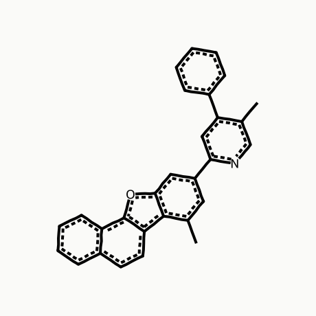 Cc1cnc(-c2cc(C)c3c(c2)oc2c4ccccc4ccc23)cc1-c1ccccc1